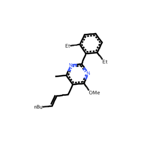 CCCCC=CCc1c(C)nc(-c2c(CC)cccc2CC)nc1OC